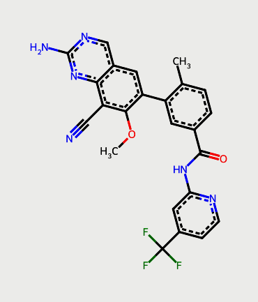 COc1c(-c2cc(C(=O)Nc3cc(C(F)(F)F)ccn3)ccc2C)cc2cnc(N)nc2c1C#N